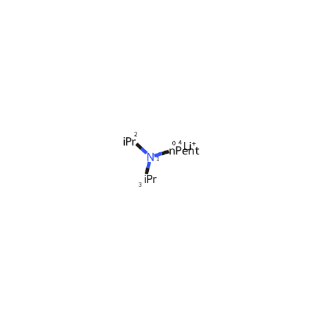 CCCCCN(C(C)C)C(C)C.[Li+]